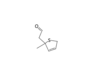 CC1(CC=O)C=CCS1